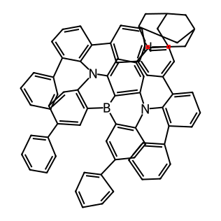 c1ccc(-c2ccc3c(c2)B2c4cc(-c5ccccc5)ccc4N(c4c(-c5ccccc5)cccc4-c4ccccc4)c4cc(N5C6CC7CC(C6)CC5C7)cc(c42)N3c2c(-c3ccccc3)cccc2-c2ccccc2)cc1